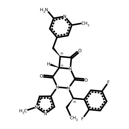 CC[C@H](c1cc(F)ccc1F)N1C(=O)N2C(=O)[C@H](Cc3cc(C)nc(N)c3)[C@H]2C(=O)N1c1cnn(C)c1